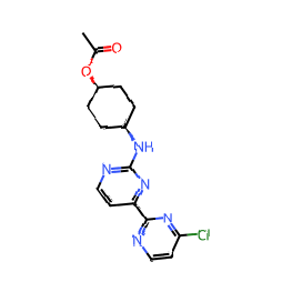 CC(=O)O[C@H]1CC[C@@H](Nc2nccc(-c3nccc(Cl)n3)n2)CC1